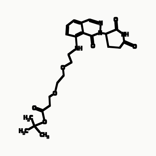 CC(C)(C)OC(=O)CCOCCOCCNc1cccc2cnn(C3CCC(=O)NC3=O)c(=O)c12